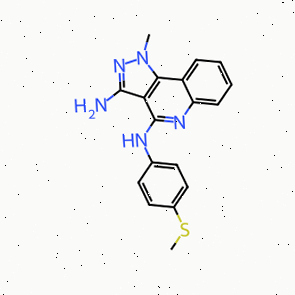 CSc1ccc(Nc2nc3ccccc3c3c2c(N)nn3C)cc1